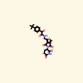 CC(C)(C)c1ccc(C(=O)C(=O)NCc2scc3c2C(=O)N(C2CCC(=O)NC2=O)C3=O)cc1